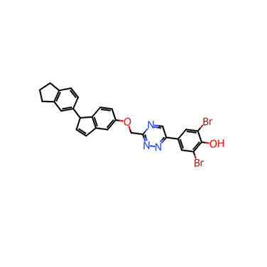 Oc1c(Br)cc(-c2cnc(COc3ccc4c(c3)C=CC4c3ccc4c(c3)CCC4)nn2)cc1Br